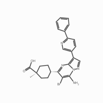 C[C@]1(C(=O)O)CC[C@H](c2nc3c(-c4ccc(-c5ccccc5)nc4)cnn3c(N)c2Br)CC1